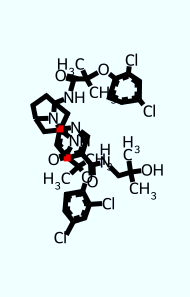 CC(C)(O)CNC(=O)c1ccc(N2C3CCC2(NC(=O)C(C)(C)Oc2ccc(Cl)cc2Cl)CC(NC(=O)C(C)(C)Oc2ccc(Cl)cc2Cl)C3)nc1